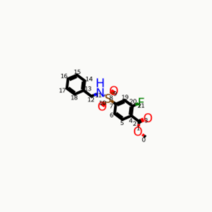 COC(=O)c1ccc(S(=O)(=O)NCc2ccccc2)cc1F